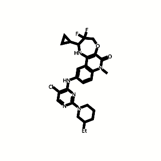 CCC1CCCN(c2ncc(Cl)c(Nc3ccc4c(c3)c3c(c(=O)n4C)OCC(F)(F)C(C4CC4)N3)n2)C1